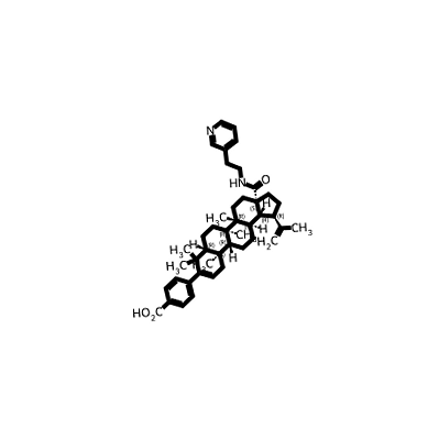 C=C(C)[C@@H]1CC[C@]2(C(=O)NCCc3cccnc3)CC[C@]3(C)[C@H](CC[C@@H]4[C@@]5(C)CC=C(c6ccc(C(=O)O)cc6)C(C)(C)[C@@H]5CC[C@]43C)[C@@H]12